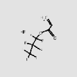 C=CC(=O)OC(F)(F)C(F)(F)C(F)(F)F.F